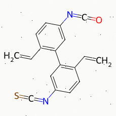 C=Cc1ccc(N=C=O)cc1-c1cc(N=C=S)ccc1C=C